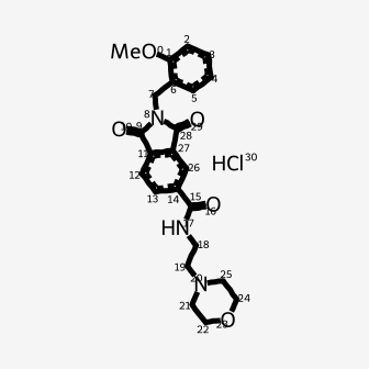 COc1ccccc1CN1C(=O)c2ccc(C(=O)NCCN3CCOCC3)cc2C1=O.Cl